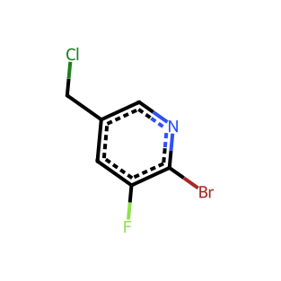 Fc1cc(CCl)cnc1Br